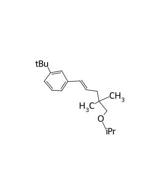 CC(C)OCC(C)(C)C/C=C/c1cccc(C(C)(C)C)c1